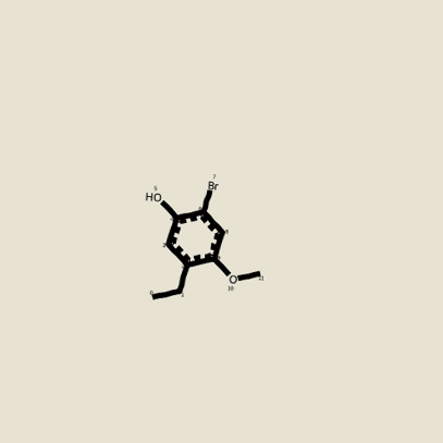 CCc1cc(O)c(Br)cc1OC